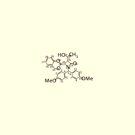 COc1ccc(C(c2ccc(OC)cc2)N2C(=O)C(C(C)O)C2C(=O)OCc2ccccc2)cc1